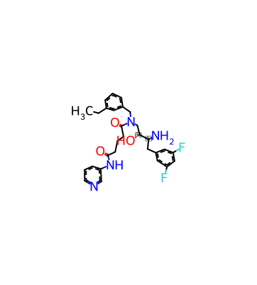 CCc1cccc(CN(C[C@@H](O)[C@@H](N)Cc2cc(F)cc(F)c2)C(=O)CCCC(=O)Nc2cccnc2)c1